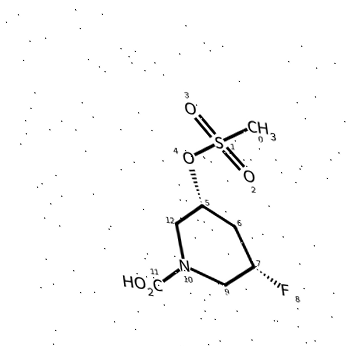 CS(=O)(=O)O[C@@H]1C[C@H](F)CN(C(=O)O)C1